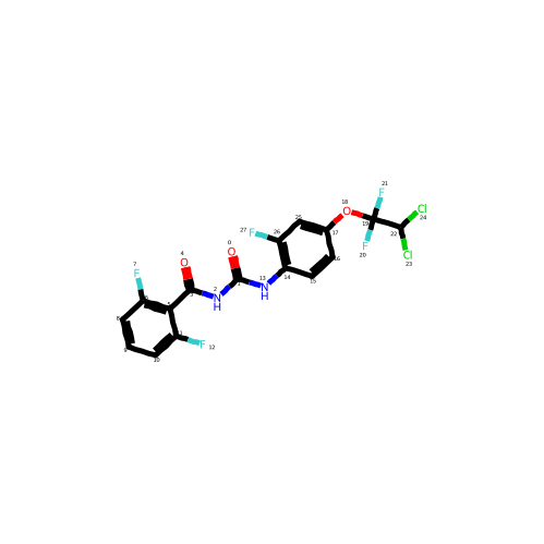 O=C(NC(=O)c1c(F)cccc1F)Nc1ccc(OC(F)(F)C(Cl)Cl)cc1F